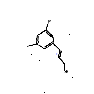 OC/C=C/c1cc(Br)cc(Br)c1